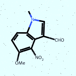 COc1ccc2c(c(C=O)cn2C)c1[N+](=O)[O-]